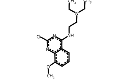 CCN(CC)CCNc1nc(Cl)nc2c(OC)cccc12